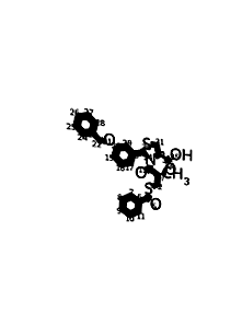 C[C@H](CSC(=O)c1ccccc1)C(=O)N1C(c2cccc(OCc3ccccc3)c2)SC[C@H]1C(=O)O